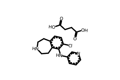 Clc1ccc2c(c1Nc1cccnc1)CCNCC2.O=C(O)CCC(=O)O